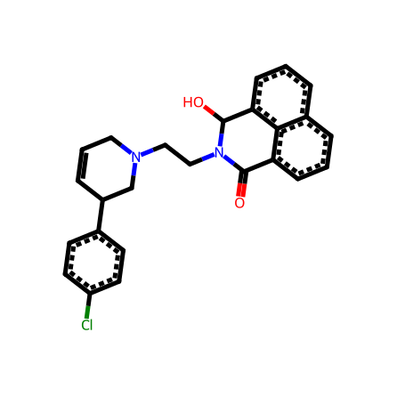 O=C1c2cccc3cccc(c23)C(O)N1CCN1CC=CC(c2ccc(Cl)cc2)C1